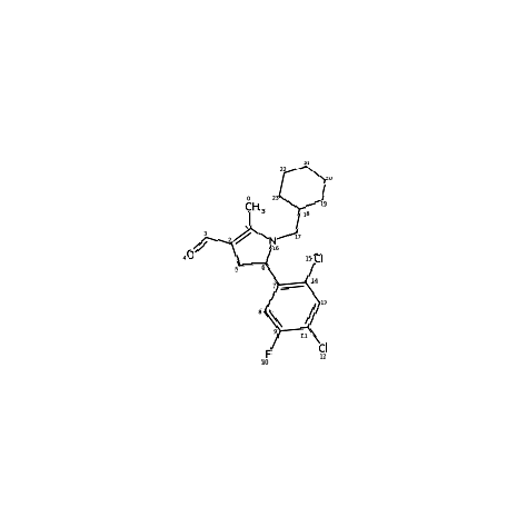 CC1=C(C=O)CC(c2cc(F)c(Cl)cc2Cl)N1CC1CCCCC1